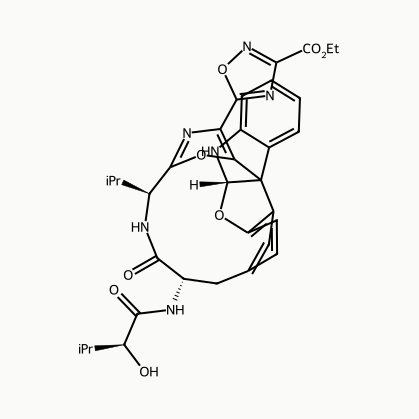 CCOC(=O)c1noc(-c2nc3oc2C24c5ccccc5N[C@H]2Oc2ccc(cc24)C[C@H](NC(=O)[C@@H](O)C(C)C)C(=O)N[C@H]3C(C)C)n1